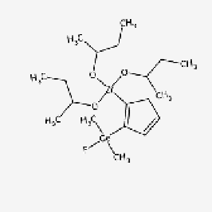 CCC(C)[O][Zr]([O]C(C)CC)([O]C(C)CC)[C]1=[C]([Ge]([CH3])([CH3])[F])C=CC1